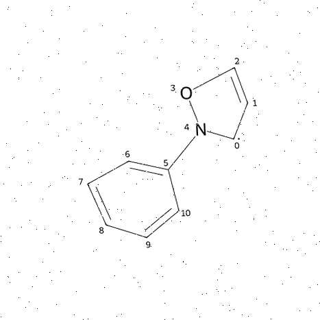 [CH]1C=CON1c1ccccc1